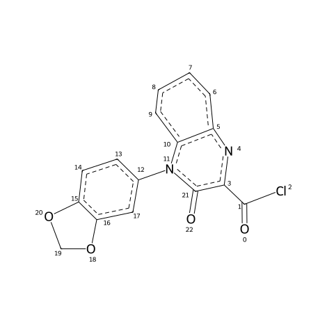 O=C(Cl)c1nc2ccccc2n(-c2ccc3c(c2)OCO3)c1=O